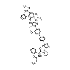 COC(=O)N[C@@H](C(=O)N(C)[C@@H](C)c1nc2c([nH]1)CCOc1cc(-c3ccc(-c4cnc([C@@H]5CCCN5C(=O)[C@H](NC(=O)OC)c5ccccc5)[nH]4)cc3)ccc1-2)c1ccccc1